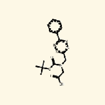 CC(C)(C)OC(=O)N(CC(=O)O)Cc1nnc(-c2ccccc2)nn1